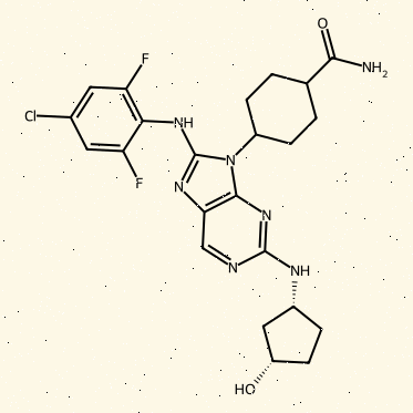 NC(=O)C1CCC(n2c(Nc3c(F)cc(Cl)cc3F)nc3cnc(N[C@@H]4CC[C@H](O)C4)nc32)CC1